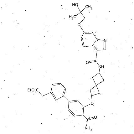 CCOC(=O)Cc1cccc(-c2ccc(C(N)=O)c(OC3CC4(CC(NC(=O)c5cnn6cc(OCC(C)(C)O)ccc56)C4)C3)c2)c1